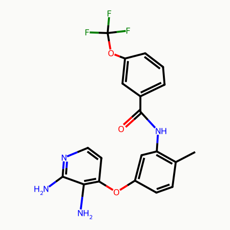 Cc1ccc(Oc2ccnc(N)c2N)cc1NC(=O)c1cccc(OC(F)(F)F)c1